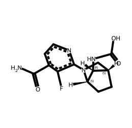 NC(=O)c1ccnc(N2C[C@@H]3CC[C@H]2[C@@H]3NC(=O)O)c1F